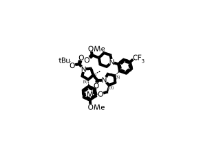 COC[C@@H]1C[C@@H](c2ccc(C(F)(F)F)cc2N2CCC(C(=O)OC)CC2)CN1C(=O)[C@]1(C)CN(C(=O)OC(C)(C)C)C[C@H]1c1ccc(OC)cc1